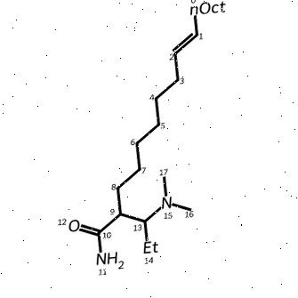 CCCCCCCCC=CCCCCCCC(C(N)=O)C(CC)N(C)C